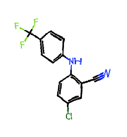 N#Cc1cc(Cl)ccc1Nc1ccc(C(F)(F)F)cc1